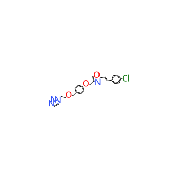 Clc1ccc(C=Cc2nc(COc3ccc(COCCn4ccnn4)cc3)co2)cc1